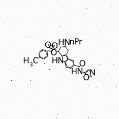 CCCNC1Cc2c([nH]c3ccc(C(=O)Nc4cnco4)cc23)C(OS(=O)(=O)c2ccc(C)cc2)C1